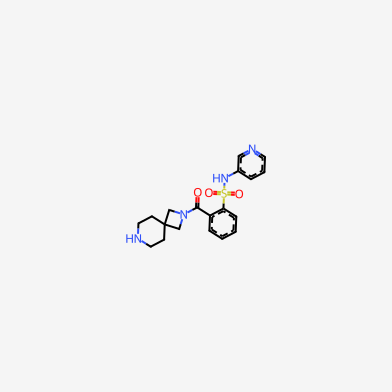 O=C(c1ccccc1S(=O)(=O)Nc1cccnc1)N1CC2(CCNCC2)C1